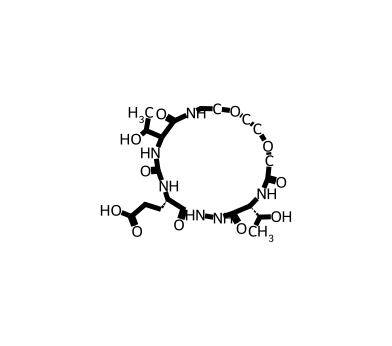 CC(O)C1NC(=O)N[C@@H](CCC(=O)O)C(=O)NNC(=O)[C@@H](C(C)O)NC(=O)COCCOCCNC1=O